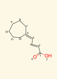 O=C(O)/C=C/C=C1CCCCCC1